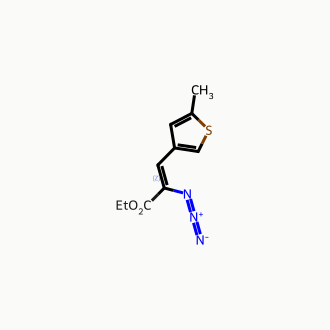 CCOC(=O)/C(=C/c1csc(C)c1)N=[N+]=[N-]